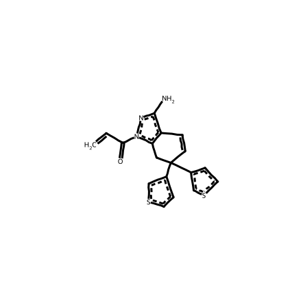 C=CC(=O)n1nc(N)c2c1CC(c1ccsc1)(c1ccsc1)C=C2